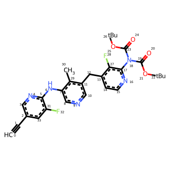 C#Cc1cnc(Nc2cncc(Cc3ccnc(N(C(=O)OC(C)(C)C)C(=O)OC(C)(C)C)c3F)c2C)c(F)c1